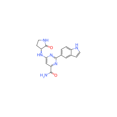 NC(=O)c1cc(N[C@H]2CCNC2=O)nc(-c2ccc3[nH]ccc3c2)n1